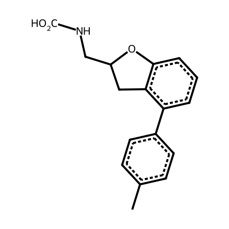 Cc1ccc(-c2cccc3c2CC(CNC(=O)O)O3)cc1